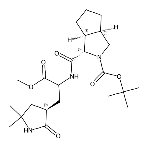 COC(=O)C(C[C@@H]1CC(C)(C)NC1=O)NC(=O)[C@@H]1[C@H]2CCC[C@H]2CN1C(=O)OC(C)(C)C